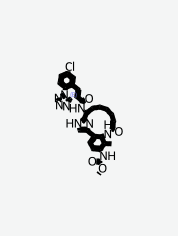 COC(=O)NC1=CC=C2c3c[nH]c(n3)[C@@H](NC(=O)/C=C/c3cc(Cl)ccc3-n3cnnn3)CCCCCC(=O)NC2C1C